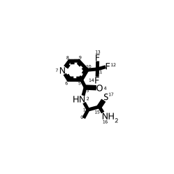 CC(NC(=O)c1cnccc1C(F)(F)F)C(N)=S